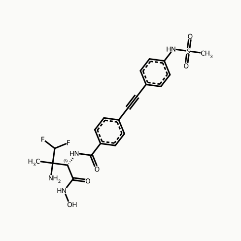 CC(N)(C(F)F)[C@H](NC(=O)c1ccc(C#Cc2ccc(NS(C)(=O)=O)cc2)cc1)C(=O)NO